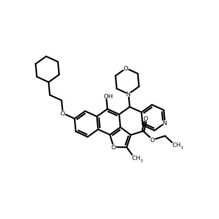 CCOC(=O)c1c(C)oc2c1c(C(c1ccncc1)N1CCOCC1)c(O)c1cc(OCCC3CCCCC3)ccc12